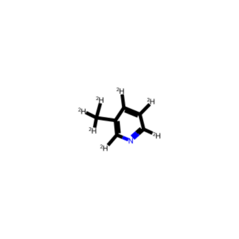 [2H]c1nc([2H])c(C([2H])([2H])[2H])c([2H])c1[2H]